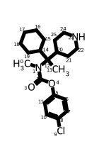 CN(C(=O)Oc1ccc(Cl)cc1)C(C)(C1CCCCC1)C1CCNCC1